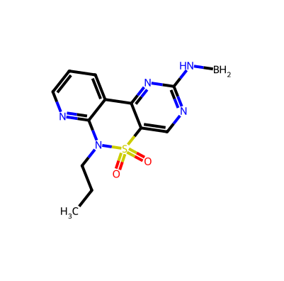 BNc1ncc2c(n1)-c1cccnc1N(CCC)S2(=O)=O